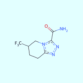 NC(=O)c1nnc2n1CC(C(F)(F)F)CC2